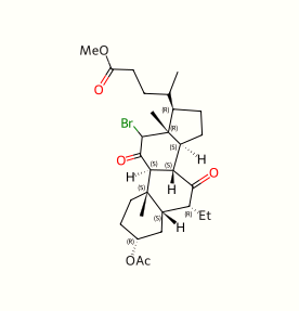 CC[C@H]1C(=O)[C@@H]2[C@H](C(=O)C(Br)[C@]3(C)[C@@H](C(C)CCC(=O)OC)CC[C@@H]23)[C@@]2(C)CC[C@@H](OC(C)=O)C[C@@H]12